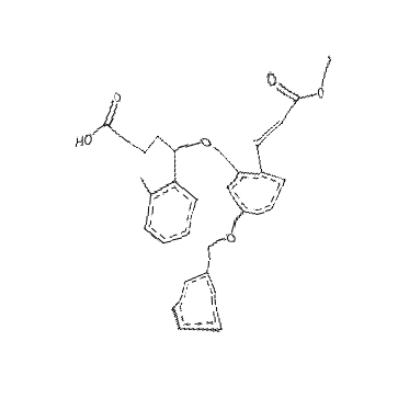 COC(=O)C=Cc1ccc(OCc2ccccc2)cc1OC(CCC(=O)O)c1ccccc1C